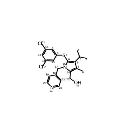 Cc1c(C(C)C)c(Sc2cc(Cl)cc(Cl)c2)n(Cc2ccncc2)c1CO